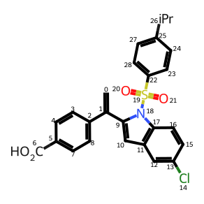 C=C(c1ccc(C(=O)O)cc1)c1cc2cc(Cl)ccc2n1S(=O)(=O)c1ccc(C(C)C)cc1